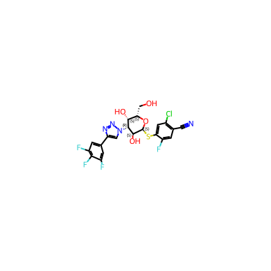 N#Cc1cc(F)c(S[C@@H]2O[C@@H](CO)[C@@H](O)[C@@H](n3cc(-c4cc(F)c(F)c(F)c4)nn3)[C@@H]2O)cc1Cl